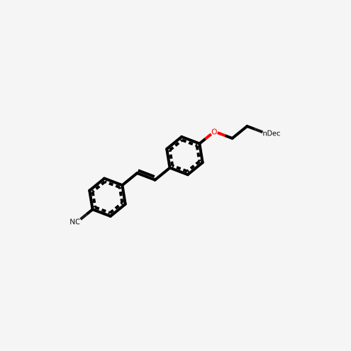 CCCCCCCCCCCCOc1ccc(C=Cc2ccc(C#N)cc2)cc1